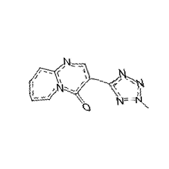 Cn1nnc(-c2cnc3ccccn3c2=O)n1